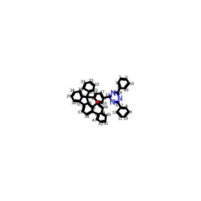 c1ccc(-c2nc(-c3ccccc3)nc(-c3ccc(C4(c5ccccc5)c5ccccc5-c5ccc6c(ccc7ccccc76)c54)cc3)n2)cc1